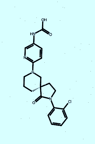 O=C(O)Nc1ccc(N2CCC[C@@]3(CCN(c4ccccc4Cl)C3=O)C2)nc1